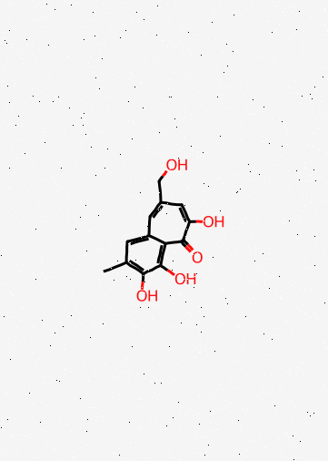 Cc1cc2cc(CO)cc(O)c(=O)c2c(O)c1O